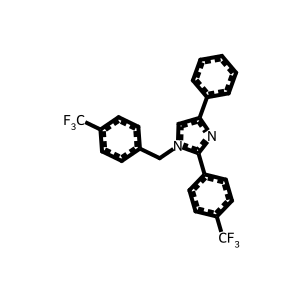 FC(F)(F)c1ccc(Cn2cc(-c3ccccc3)nc2-c2ccc(C(F)(F)F)cc2)cc1